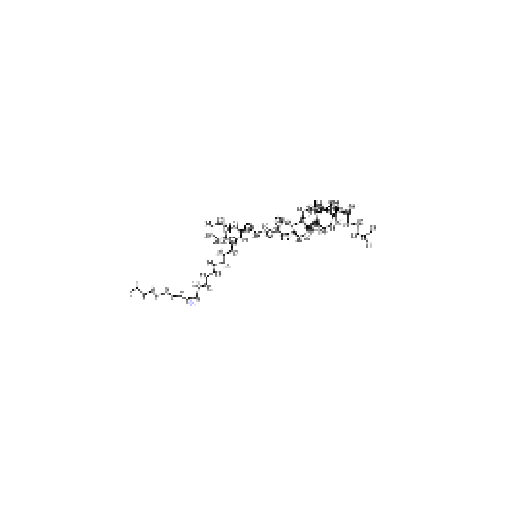 CCCCCCCC/C=C\CCCCCCCCOCC(CN1CCCCC1)OCCOC(=O)O[C@H]1CC[C@@]2(C)C(=CC[C@H]3[C@@H]4CC[C@H]([C@H](C)CCCC(C)C)[C@@]4(C)CC[C@@H]32)C1